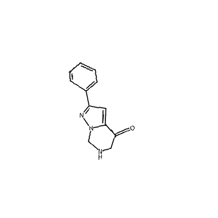 O=C1CNCn2nc(-c3ccccc3)cc21